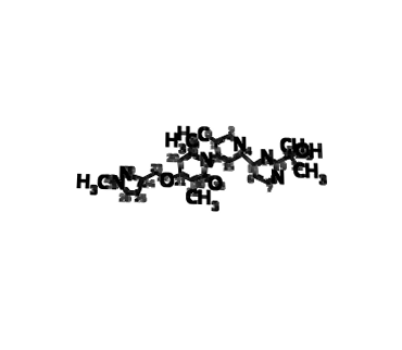 Cc1cnc(-c2ccnc(C(C)(C)O)n2)cc1-n1c(C)cc(OCc2ccn(C)n2)c(C)c1=O